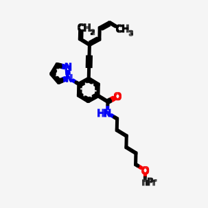 C=C/C(C#Cc1cc(C(=O)NCCCCCCOCCC)ccc1-n1cccn1)=C\C=C/C